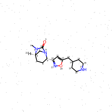 CN1C(=O)N2C[C@H]1CC[C@H]2c1cc(CC2CCNCC2)on1